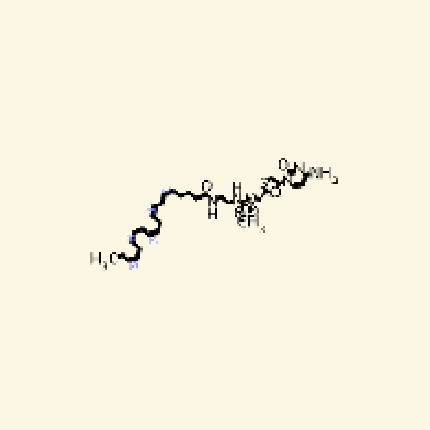 CC/C=C\C/C=C\C/C=C\C/C=C\C/C=C\CCCC(=O)NCCNP(=O)(OC)OC[C@@H]1OC(n2ccc(N)nc2=O)CS1